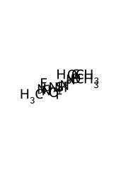 Cc1cn2cc(NC(=O)c3sc(N4CC5(CN(C(=O)OC(C)(C)C)C5)C4)cc3F)cc(F)c2n1